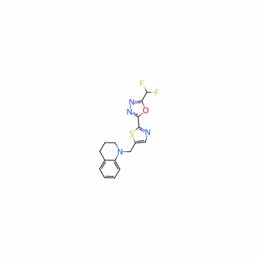 FC(F)c1nnc(-c2ncc(CN3CCCc4ccccc43)s2)o1